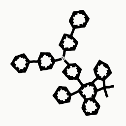 CC1(C)c2ccccc2-c2c(-c3ccc(N(c4ccc(-c5ccccc5)cc4)c4ccc(-c5ccccc5)cc4)cc3)c(-c3ccccc3)c3ccccc3c21